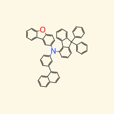 c1ccc(C2(c3ccccc3)c3ccccc3-c3c(N(c4cccc(-c5cccc6ccccc56)c4)c4ccc5oc6ccccc6c5c4)cccc32)cc1